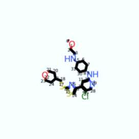 COCCN[C@H]1CC[C@H](Nc2cc(-c3csc(SCC4CCOCC4)n3)c(Cl)cn2)CC1